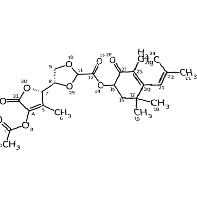 CC(=O)OC1=C(C)[C@@H]([C@@H]2COC(C(=O)OC3CC(C)(C)C(C=C(C)C)=C(C)C3=O)O2)OC1=O